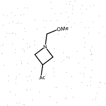 COCN1CC(C(C)=O)C1